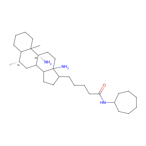 C[C@H]1CC2C3CCC(CCCCC(=O)NC4CCCCCC4)C3(N)CC[C@]2(N)C2(C)CCCCC12